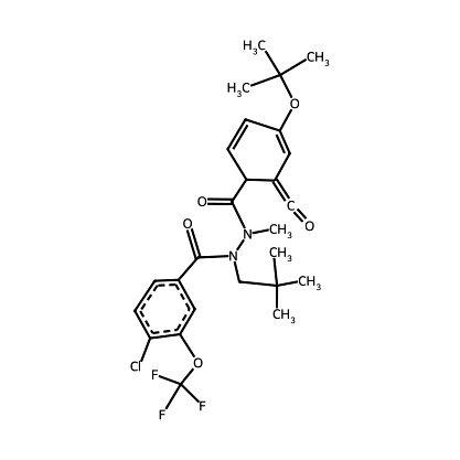 CN(C(=O)C1C=CC(OC(C)(C)C)=CC1=C=O)N(CC(C)(C)C)C(=O)c1ccc(Cl)c(OC(F)(F)F)c1